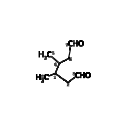 CC(CC=O)C(C)CC=O